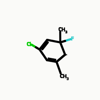 CC1=CC(Cl)=CC(C)(F)[CH]1